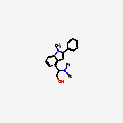 CCN(CC)C(CO)c1cccc2c1cc(-c1ccccc1)n2C